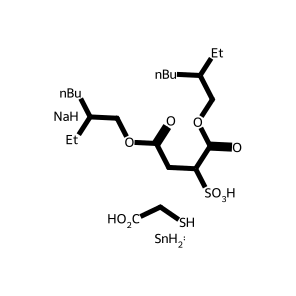 CCCCC(CC)COC(=O)CC(C(=O)OCC(CC)CCCC)S(=O)(=O)O.O=C(O)CS.[NaH].[SnH2]